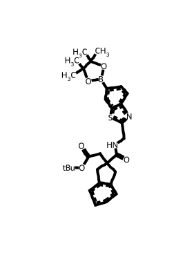 CC(C)(C)OC(=O)CC1(C(=O)NCc2nc3ccc(B4OC(C)(C)C(C)(C)O4)cc3s2)Cc2ccccc2C1